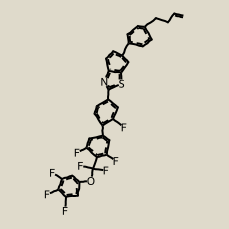 C=CCCc1ccc(-c2ccc3nc(-c4ccc(-c5cc(F)c(C(F)(F)Oc6cc(F)c(F)c(F)c6)c(F)c5)c(F)c4)sc3c2)cc1